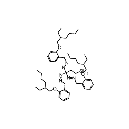 CCCCC(CC)COc1ccccc1CN=NC(CC[SiH3])(N=NCc1ccccc1OCC(CC)CCCC)N=NCc1ccccc1OCC(CC)CCCC